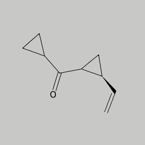 C=C[C@@H]1CC1C(=O)C1CC1